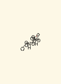 O=C(NCC(O)C(=O)ON1C(=O)C2C3C=CC(C3)C2C1=O)OCc1ccccc1